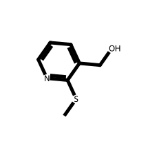 CSc1ncccc1CO